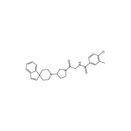 Cc1cc(C(=O)NCC(=O)N2CCC(N3CCC4(C=Cc5ccccc54)CC3)C2)ccc1Cl